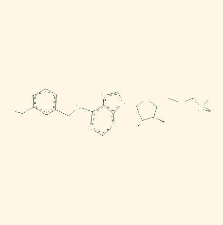 O=P(O)(O)COC[C@H]1O[C@@H](n2cnc3c(NCc4cccc(CO)c4)ncnc32)[C@H](O)[C@@H]1O